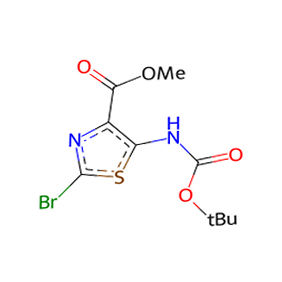 COC(=O)c1nc(Br)sc1NC(=O)OC(C)(C)C